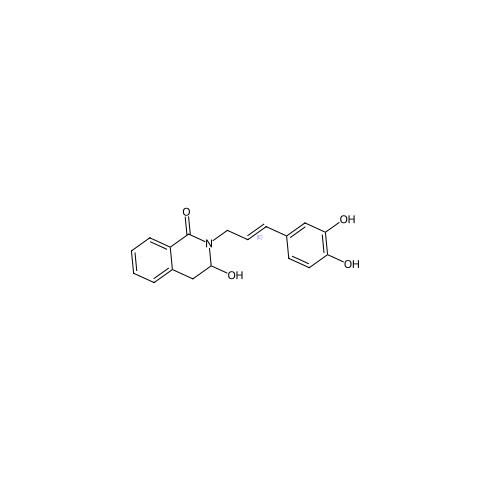 O=C1c2ccccc2CC(O)N1C/C=C/c1ccc(O)c(O)c1